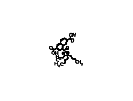 CCCC[PH](CCCC)(CCCC)OS(=O)(=O)c1cc(C(=O)O)cc2ccc(C(=O)O)cc12